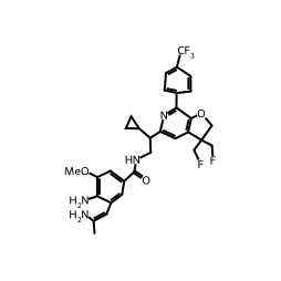 COc1cc(C(=O)NCC(c2cc3c(c(-c4ccc(C(F)(F)F)cc4)n2)OCC3(CF)CF)C2CC2)cc(/C=C(/C)N)c1N